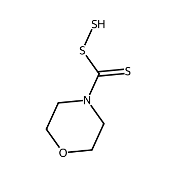 S=C(SS)N1CCOCC1